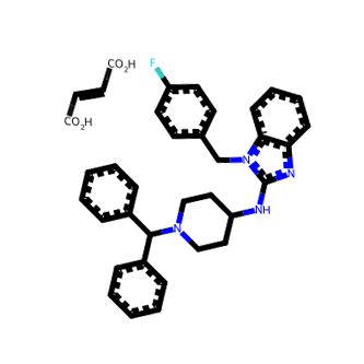 Fc1ccc(Cn2c(NC3CCN(C(c4ccccc4)c4ccccc4)CC3)nc3ccccc32)cc1.O=C(O)/C=C/C(=O)O